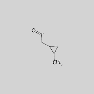 CC1CC1C[C]=O